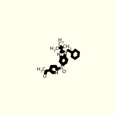 CC(=O)c1ccc([S+]([O-])c2ccc3c(c2)nc(C(C)(C)C)n3CC2CCCCC2)nc1